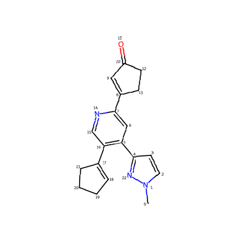 Cn1ccc(-c2cc(C3=CC(=O)CC3)ncc2C2=CCCC2)n1